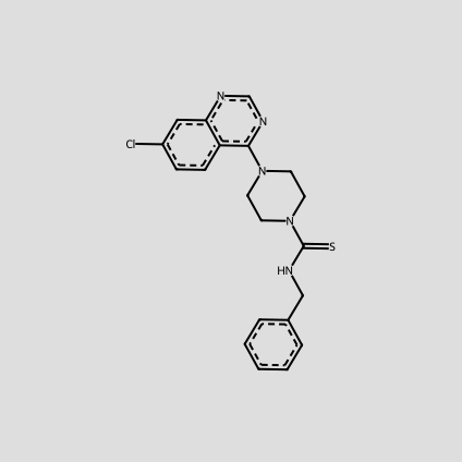 S=C(NCc1ccccc1)N1CCN(c2ncnc3cc(Cl)ccc23)CC1